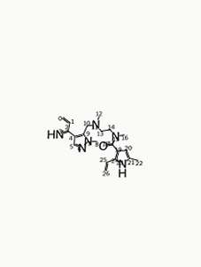 C=CC(=N)c1cnn(C)c1CN(C)CCN(C)C(=O)c1cc(C)[nH]c1C=C